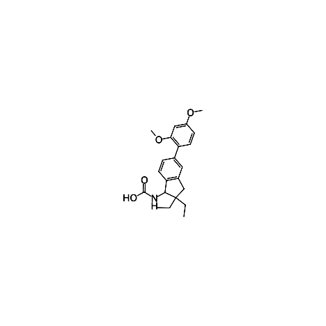 CCC1(CC)Cc2cc(-c3ccc(OC)cc3OC)ccc2C1NC(=O)O